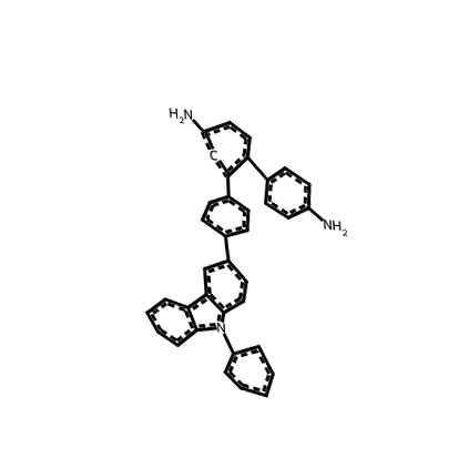 Nc1ccc(-c2ccc(N)cc2-c2ccc(-c3ccc4c(c3)c3ccccc3n4-c3ccccc3)cc2)cc1